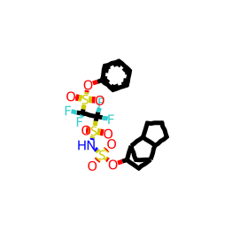 O=S(=O)(NS(=O)(=O)C(F)(F)C(F)(F)S(=O)(=O)Oc1ccccc1)OC1CC2CC1C1CCCC21